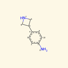 Nc1ccc(C2CNC2)cc1